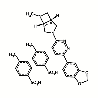 CN1C[C@@H]2CN(c3ccc(-c4ccc5c(c4)OCO5)nn3)C[C@@H]21.Cc1ccc(S(=O)(=O)O)cc1.Cc1ccc(S(=O)(=O)O)cc1